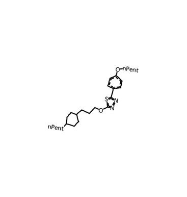 CCCCCOc1ccc(-c2nnc(OCCCC3CCC(CCCCC)CC3)s2)cc1